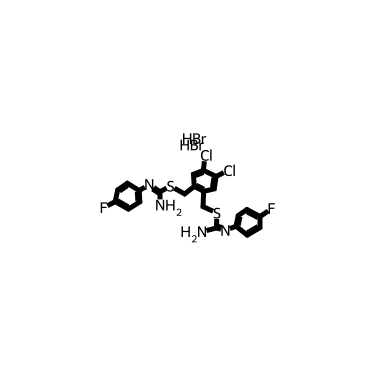 Br.Br.NC(=Nc1ccc(F)cc1)SCc1cc(Cl)c(Cl)cc1CS/C(N)=N/c1ccc(F)cc1